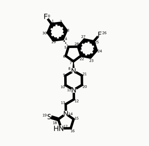 Fc1ccc([C@H]2C[C@H](N3CCN(CCN4CCNC4=S)CC3)c3ccc(F)cc32)cc1